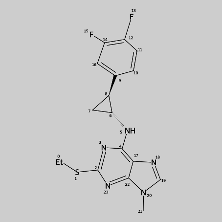 CCSc1nc(N[C@@H]2C[C@H]2c2ccc(F)c(F)c2)c2ncn(C)c2n1